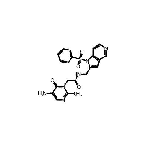 Cc1ncc(N)c(=O)n1CC(=O)NCc1cc2cnccc2n1S(=O)(=O)c1ccccc1